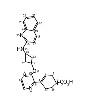 O=C(O)N1CC=C(c2nccnc2OC2CC(Nc3ccc4ccccc4n3)C2)CC1